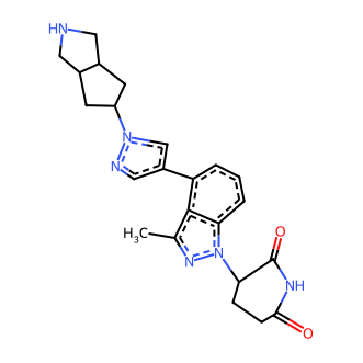 Cc1nn(C2CCC(=O)NC2=O)c2cccc(-c3cnn(C4CC5CNCC5C4)c3)c12